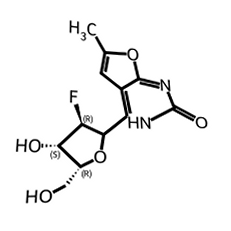 Cc1cc2c(C3O[C@H](CO)[C@H](O)[C@H]3F)[nH]c(=O)nc2o1